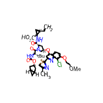 C=C[C@@H]1C[C@]1(NC(=O)[C@@H]1C[C@@H](Oc2cc(-c3nc(C)cs3)nc3c(Cl)c(OCCOC)ccc23)CN1C(=O)[C@@H](NC(=O)O[C@@H]1C[C@@H]2C[C@@H]2C1)C(C)(C)C)C(=O)O